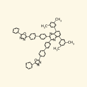 Cc1cc(C)cc(-c2ccc(-c3cc(C)cc(C)c3)c3nc(-c4ccc(-c5ccc(-c6nnc(-c7ccccc7)o6)cc5)cc4)c(-c4ccc(-c5ccc(-c6nnc(-c7ccccc7)o6)cc5)cc4)nc23)c1